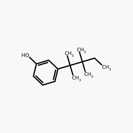 CCC(C)(C)C(C)(C)c1cccc(O)c1